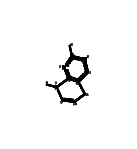 Cc1ncc2c(n1)N(C)C=CC2